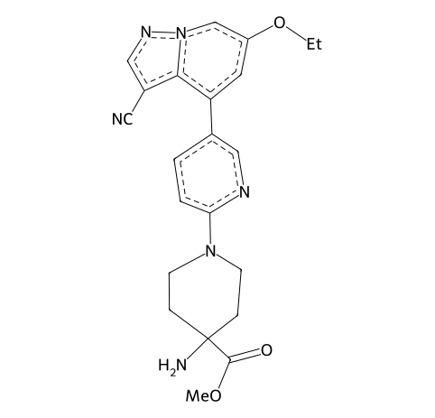 CCOc1cc(-c2ccc(N3CCC(N)(C(=O)OC)CC3)nc2)c2c(C#N)cnn2c1